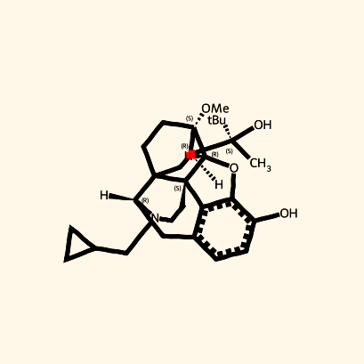 CO[C@@]12CCC3(C[C@@H]1[C@](C)(O)C(C)(C)C)[C@H]1Cc4ccc(O)c5c4[C@@]3(CCN1CC1CC1)[C@H]2O5